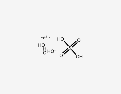 O=S(=O)(O)O.[Fe+3].[OH-].[OH-].[OH-]